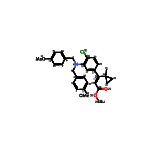 COc1ccc(CN(Cc2ccc(OC)cc2)c2cc(/C(=C/C(=O)OC(C)(C)C)C3(C)CC3)ccc2Cl)cc1